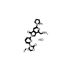 C[C@@H]1CCCN1c1cc2c(c(CN)n1)CN(c1cccc(N3C(=O)OC[C@@H]3CF)n1)C2=O.Cl